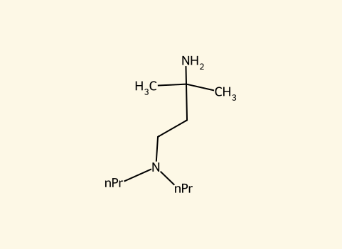 CCCN(CCC)CCC(C)(C)N